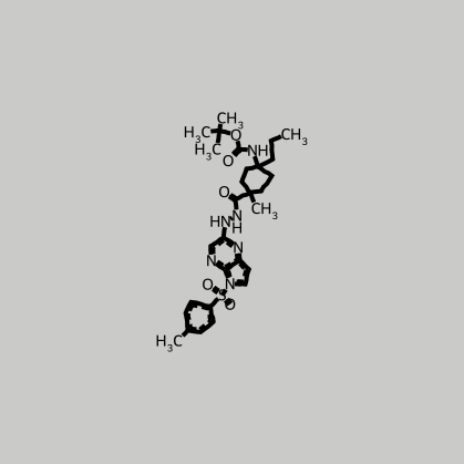 CCCC1(NC(=O)OC(C)(C)C)CCC(C)(C(=O)NNc2cnc3c(ccn3S(=O)(=O)c3ccc(C)cc3)n2)CC1